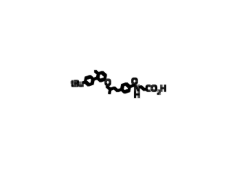 Cc1ccc(OCC(C)CCc2ccc(C(=O)NCCC(=O)O)cc2)cc1-c1ccc(C(C)(C)C)cc1